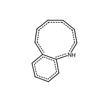 c1cccc2ccccc2[nH]cc1